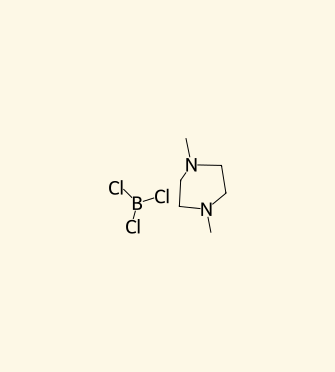 CN1CCN(C)CC1.ClB(Cl)Cl